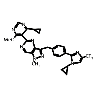 COc1ncnc(C2CC2)c1-c1ncc2c(n1)c(Cc1ccc(-c3nc(C(F)(F)F)cn3C3CC3)cc1)nn2C